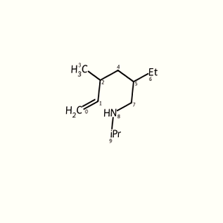 C=CC(C)CC(CC)CNC(C)C